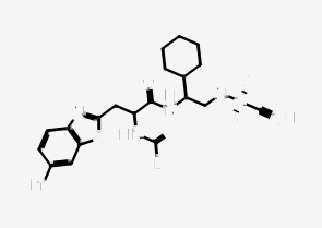 C#CS(=O)(=O)NCC(NC(=O)C(Cc1nc2ccc(C(C)C)cc2s1)NC(=O)CC)C1CCCCC1